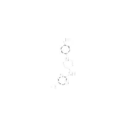 Cc1cc(N2CCC(Nc3ncc(Cl)cn3)CC2)ccc1C=O